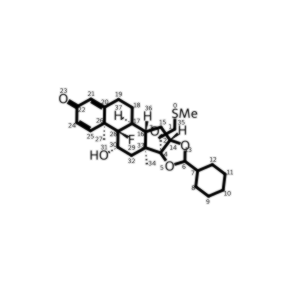 CSCC(=O)[C@@]12OC(C3CCCCC3)O[C@H]1C[C@H]1[C@@H]3CCC4=CC(=O)C=C[C@]4(C)[C@@]3(F)[C@@H](O)C[C@@]12C